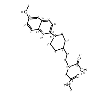 CNC(=O)CN(CCC1CCN(c2ccc3cc(OC)ccc3n2)CC1)C(=O)O